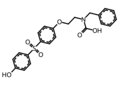 O=C(O)N(CCOc1ccc(S(=O)(=O)c2ccc(O)cc2)cc1)Cc1ccccc1